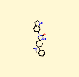 CN(C)[C@]1(c2ccccc2)CC[C@]2(CC1)CN(c1ccc3c(c1)NCC3)C(=O)N2